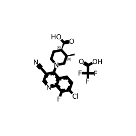 C[C@H]1CN(c2c(C#N)cnc3c(F)c(Cl)ccc23)CC[C@H]1C(=O)O.O=C(O)C(F)(F)F